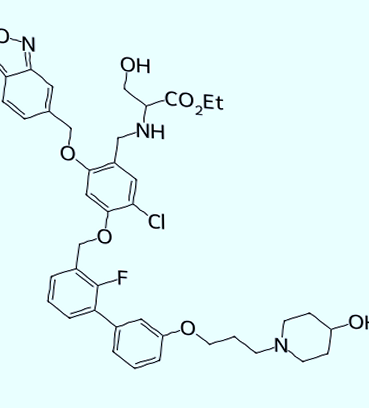 CCOC(=O)C(CO)NCc1cc(Cl)c(OCc2cccc(-c3cccc(OCCCN4CCC(O)CC4)c3)c2F)cc1OCc1ccc2nonc2c1